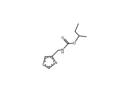 CCC(C)OC(=O)NCc1cscn1